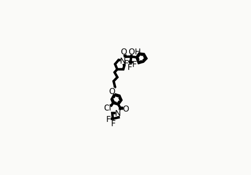 O=C(c1ccc(OCCCCC2CCN(C(=O)C(O)(c3ccccc3)C(F)(F)F)CC2)cc1Cl)N1CC(F)(F)C1